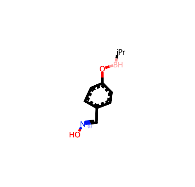 CC(C)BOc1ccc(/C=N/O)cc1